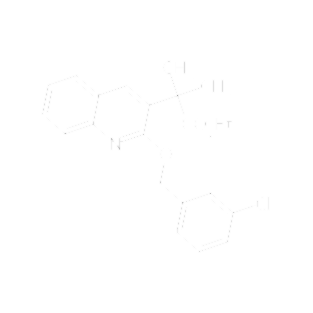 CCOC(=O)C(C)(C)c1cc2ccccc2nc1OCc1cccc(Cl)c1